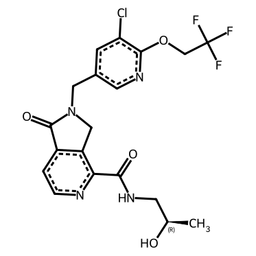 C[C@@H](O)CNC(=O)c1nccc2c1CN(Cc1cnc(OCC(F)(F)F)c(Cl)c1)C2=O